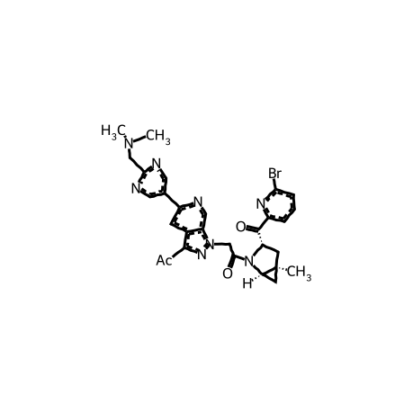 CC(=O)c1nn(CC(=O)N2[C@H](C(=O)c3cccc(Br)n3)C[C@@]3(C)C[C@@H]23)c2cnc(-c3cnc(CN(C)C)nc3)cc12